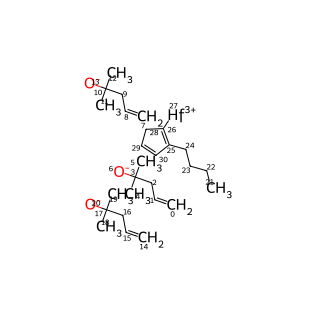 C=CCC(C)(C)[O-].C=CCC(C)(C)[O-].C=CCC(C)(C)[O-].CCCCC1=[C]([Hf+3])CC=C1